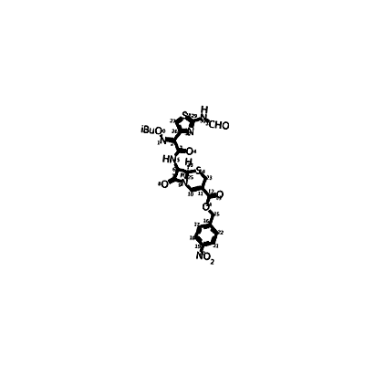 CC(C)CON=C(C(=O)NC1C(=O)N2C=C(C(=O)OCc3ccc([N+](=O)[O-])cc3)CS[C@H]12)c1csc(NC=O)n1